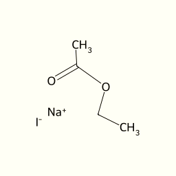 CCOC(C)=O.[I-].[Na+]